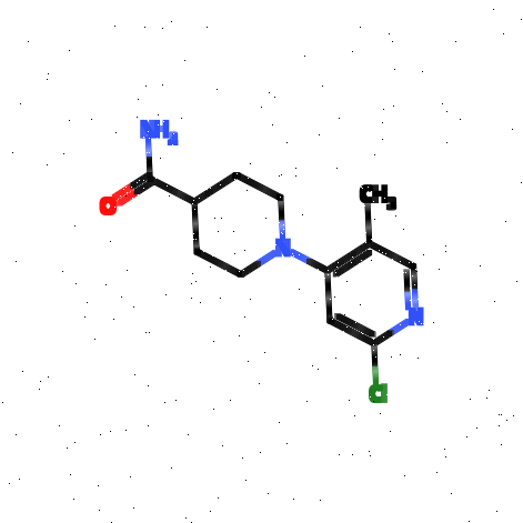 Cc1cnc(Cl)cc1N1CCC(C(N)=O)CC1